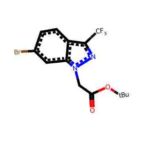 CC(C)(C)OC(=O)Cn1nc(C(F)(F)F)c2ccc(Br)cc21